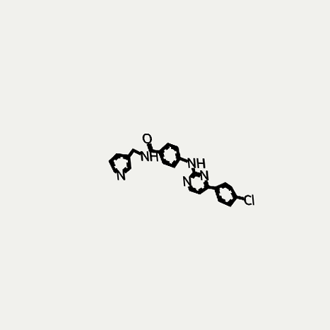 O=C(NCc1cccnc1)c1ccc(Nc2nccc(-c3ccc(Cl)cc3)n2)cc1